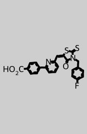 O=C(O)c1ccc(-c2cccc(C=C3SC(=S)N(Cc4ccc(F)cc4)C3=O)n2)cc1